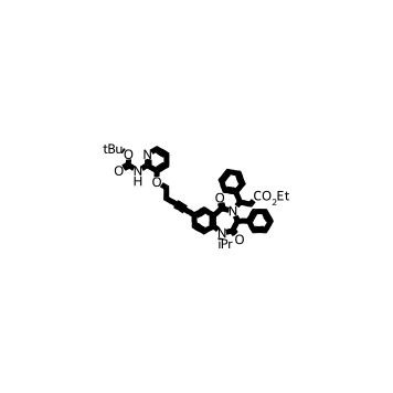 CCOC(=O)CC(c1ccccc1)N1C(=O)c2cc(C#CCCOc3cccnc3NC(=O)OC(C)(C)C)ccc2N(C(C)C)C(=O)C1c1ccccc1